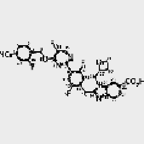 N#Cc1ccc(COc2nc(-c3cc(F)c(Cc4nc5ccc(C(=O)O)cc5n4C[C@@H]4CCO4)cc3F)ncc2F)c(F)c1